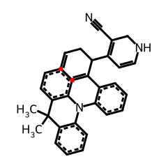 CC1(C)c2ccccc2N(c2ccccc2C2=CC=CCC2C2=C(C#N)CNC=C2)c2ccccc21